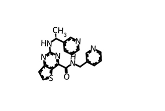 C[C@H](Nc1nc(C(=O)NCc2cccnc2)c2sccc2n1)c1cccnc1